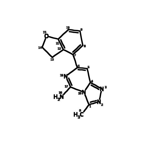 Cc1nnc2cc(-c3cccc4c3CCO4)nc(N)n12